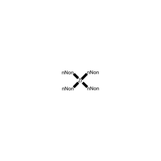 CCCCCCCC[CH2][Zr]([CH2]CCCCCCCC)([CH2]CCCCCCCC)[CH2]CCCCCCCC